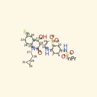 CCCS(=O)(=O)Nc1ccc2c(c1)S(=O)(=O)C=C(c1c(O)c3cc(F)ccc3n(CCC3CC3)c1=O)N2